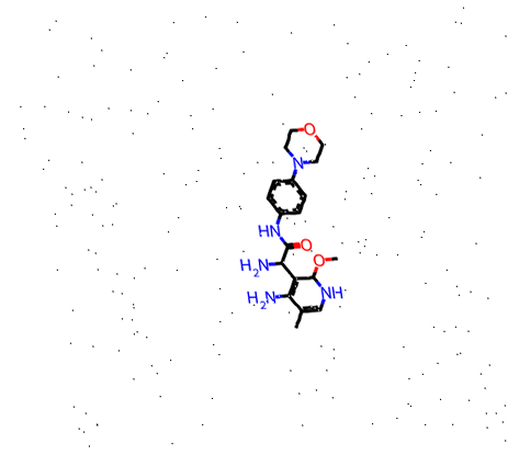 COC1NC=C(C)C(N)=C1C(N)C(=O)Nc1ccc(N2CCOCC2)cc1